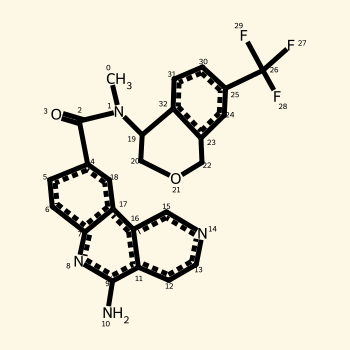 CN(C(=O)c1ccc2nc(N)c3ccncc3c2c1)C1COCc2cc(C(F)(F)F)ccc21